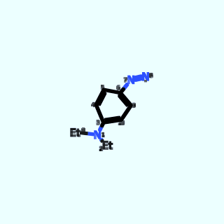 CCN(CC)c1ccc(N=[N])cc1